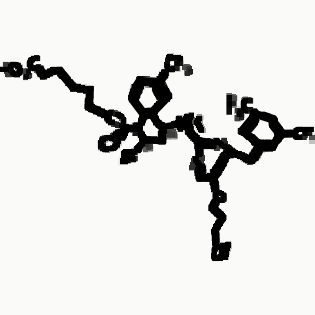 CC[C@@H]1C[C@H](Nc2ncc(OCCCC#N)c(Cc3cc(C(F)(F)F)cc(C(F)(F)F)c3)n2)c2cc(C(F)(F)F)ccc2N1C(=O)OCCCCCC(=O)O